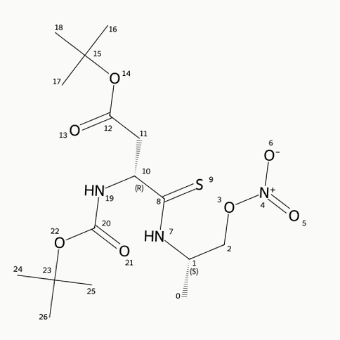 C[C@@H](CO[N+](=O)[O-])NC(=S)[C@@H](CC(=O)OC(C)(C)C)NC(=O)OC(C)(C)C